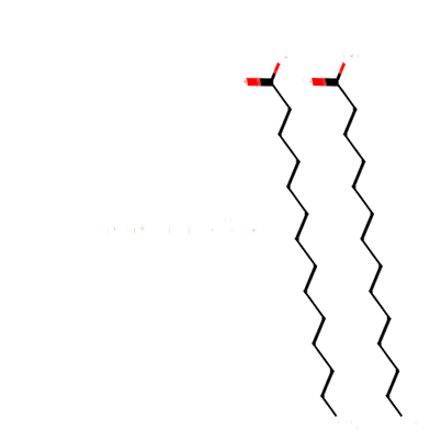 CCCCCCCCCCCCCC(=O)O.CCCCCCCCCCCCCC(=O)O.[Cl-].[Cl-].[Cl-].[Cr+3].[Cr+3].[OH-].[OH-].[OH-]